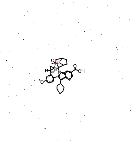 COc1ccc2c(c1)[C@@H]1C[C@]1(C(=O)N1C3CCC1CN(C)C3)Cn1c-2c(C2CCCCC2)c2ccc(C(=O)O)cc21